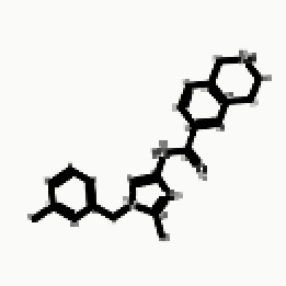 Cc1cccc(Cn2cc(NC(=O)c3ccc4c(c3)CCNC4)nc2C)c1